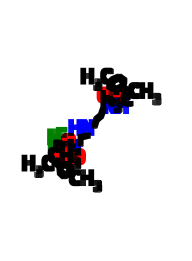 Cc1ccc(C(C)C)c(OC(=O)NCCCCNCCCN(OC(=O)C(F)(F)F)C(=O)Oc2cc(C)ccc2C(C)C)c1